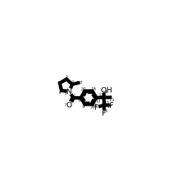 CC1CCCN1C(=O)c1ccc(C(C)(O)C(F)(F)F)cc1